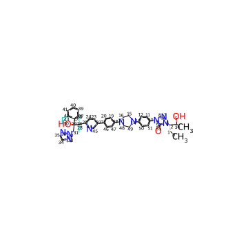 CC[C@@H]([C@H](C)O)n1ncn(-c2ccc(N3CCN(c4ccc(-c5ccc(C(F)(F)C(O)(Cn6nccn6)c6ccccc6F)nc5)cc4)CC3)cc2)c1=O